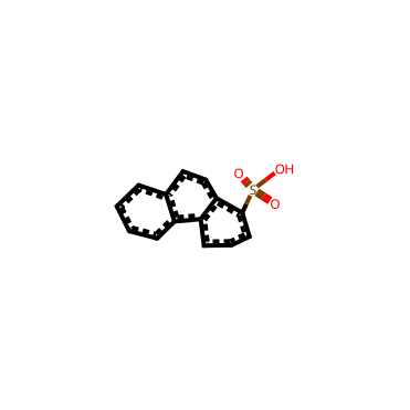 O=S(=O)(O)c1cccc2c1ccc1ccccc12